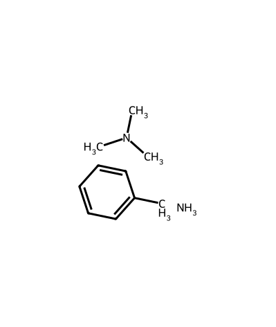 CN(C)C.Cc1ccccc1.N